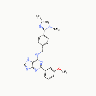 Cn1cc(C(F)(F)F)nc1-c1ccc(CNc2nc(-c3cccc(OC(F)(F)F)c3)nc3nc[nH]c23)cc1